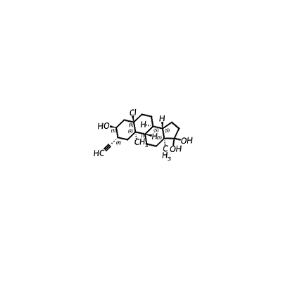 C#C[C@H]1C[C@]2(C)[C@H]3CC[C@@]4(C)[C@@H](CCC4(O)O)[C@@H]3CC[C@@]2(Cl)C[C@@H]1O